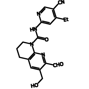 CCc1cc(NC(=O)N2CCCc3cc(CO)c(C=O)nc32)ncc1C#N